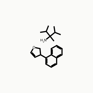 C1=CC(c2cccc3ccccc23)CO1.CC(C)C(C)(N)C(C)C